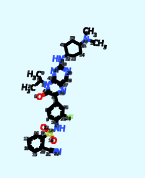 CC(C)n1c(=O)c(-c2ccc(NS(=O)(=O)c3ccccc3C#N)c(F)c2)nc2cnc(NC3CCC(N(C)C)CC3)nc21